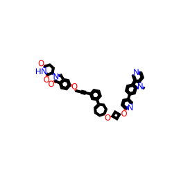 Cn1c2ccncc2c2ccc(-c3ccc(O[C@H]4C[C@H](OC5CCC=C(c6cccc(C#CCOc7ccc8c(c7)CN(C7CCC(=O)NC7=O)C8=O)c6)CC5)C4)nc3)cc21